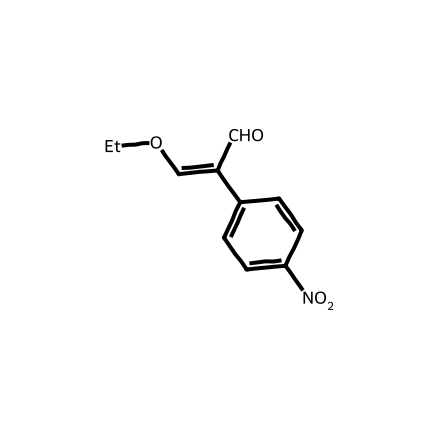 CCOC=C(C=O)c1ccc([N+](=O)[O-])cc1